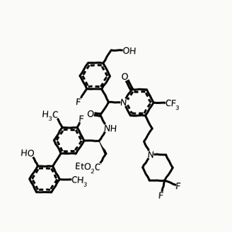 CCOC(=O)C[C@H](NC(=O)C(c1cc(CO)ccc1F)n1cc(CCN2CCC(F)(F)CC2)c(C(F)(F)F)cc1=O)c1cc(-c2c(C)cccc2O)cc(C)c1F